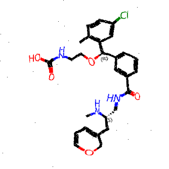 CN[C@H](CNC(=O)c1cccc([C@@H](OCCNC(=O)O)c2cc(Cl)ccc2C)c1)CC1=CC=COC1